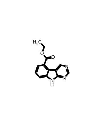 CCOC(=O)c1cccc2[nH]c3ncncc3c12